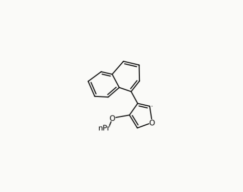 CCCOc1co[c]c1-c1cccc2ccccc12